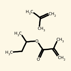 C=C(C)C.C=C(C)C(=O)OC(C)CC